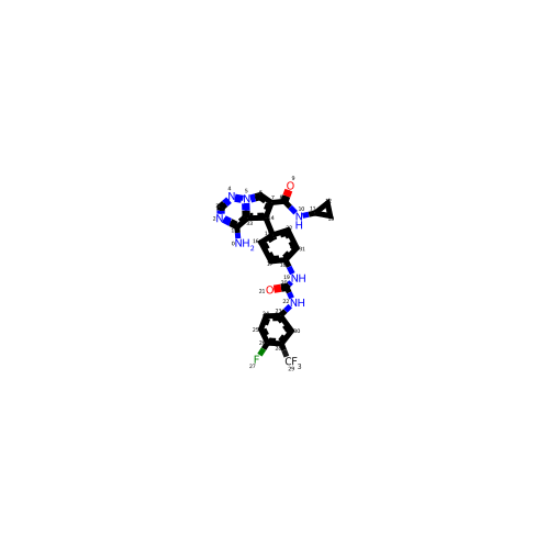 Nc1ncnn2cc(C(=O)NC3CC3)c(-c3ccc(NC(=O)Nc4ccc(F)c(C(F)(F)F)c4)cc3)c12